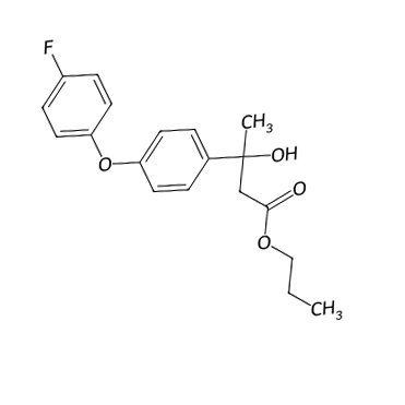 CCCOC(=O)CC(C)(O)c1ccc(Oc2ccc(F)cc2)cc1